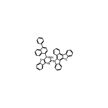 c1ccc(-c2ccc(C3NC(n4c5ccccc5c5c6sc7ccccc7c6c6ccccc6c54)=Nc4c3sc3ccccc43)c3ccccc23)cc1